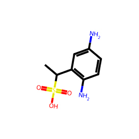 CC(c1cc(N)ccc1N)S(=O)(=O)O